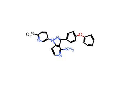 Nc1nccc2c1c(-c1ccc(Oc3ccccc3)cc1)nn2-c1ccc([N+](=O)[O-])nc1